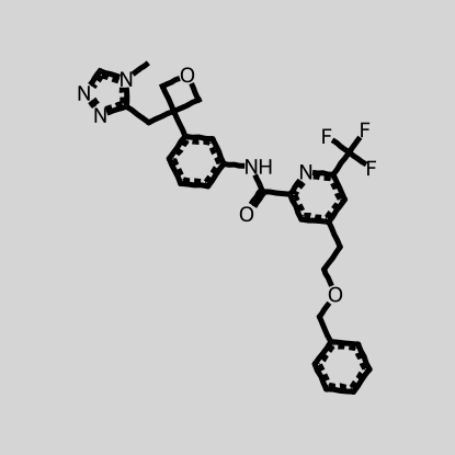 Cn1cnnc1CC1(c2cccc(NC(=O)c3cc(CCOCc4ccccc4)cc(C(F)(F)F)n3)c2)COC1